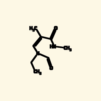 CCN(C=O)/C=C(/C)C(=O)NC